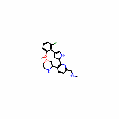 CNCc1ccc(C2COCCN2)c(C2CC(c3c(F)cccc3OC)=CN2)n1